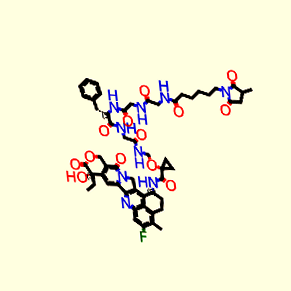 CC[C@@]1(O)C(=O)OCc2c1cc1n(c2=O)Cc2c-1nc1cc(F)c(C)c3c1c2[C@@H](NC(=O)C1(OCNC(=O)CNC(=O)[C@H](Cc2ccccc2)NC(=O)CNC(=O)CNC(=O)CCCCCN2C(=O)CC(C)C2=O)CC1)CC3